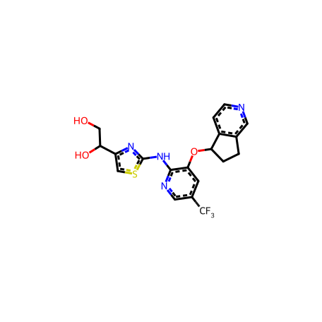 OCC(O)c1csc(Nc2ncc(C(F)(F)F)cc2OC2CCc3cnccc32)n1